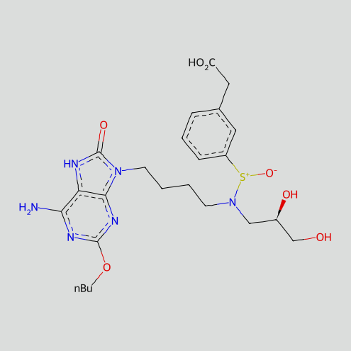 CCCCOc1nc(N)c2[nH]c(=O)n(CCCCN(C[C@@H](O)CO)[S+]([O-])c3cccc(CC(=O)O)c3)c2n1